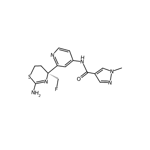 Cn1cc(C(=O)Nc2ccnc([C@]3(CF)CCSC(N)=N3)c2)cn1